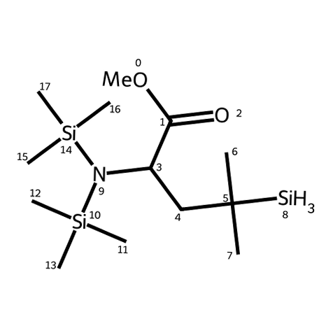 COC(=O)C(CC(C)(C)[SiH3])N([Si](C)(C)C)[Si](C)(C)C